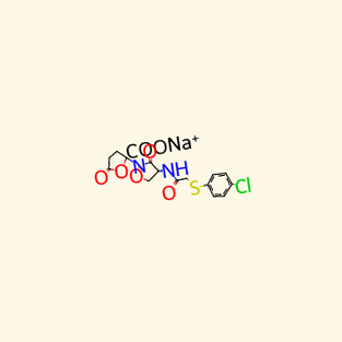 O=C(CSc1ccc(Cl)cc1)N[C@H]1CON(C2(C(=O)[O-])CCC(=O)O2)C1=O.[Na+]